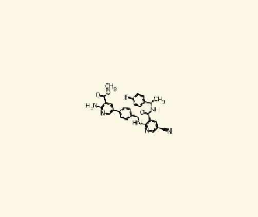 COC(=O)c1cc(-c2ccc(CNc3ncc(C#N)cc3C(=O)NC(C)c3ccc(F)cc3)cc2)cnc1N